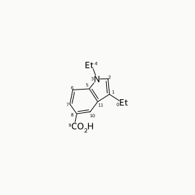 CCc1cn(CC)c2ccc(C(=O)O)cc12